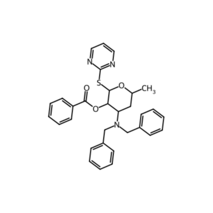 CC1CC(N(Cc2ccccc2)Cc2ccccc2)C(OC(=O)c2ccccc2)C(Sc2ncccn2)O1